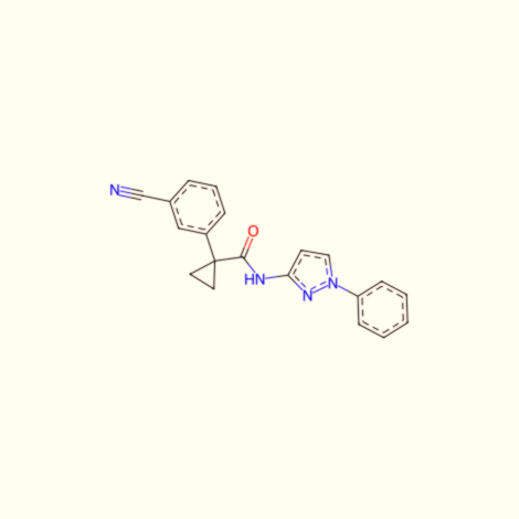 N#Cc1cccc(C2(C(=O)Nc3ccn(-c4ccccc4)n3)CC2)c1